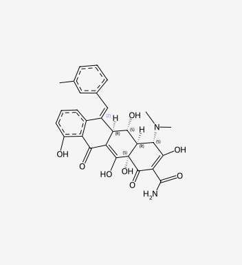 Cc1cccc(/C=C2\c3cccc(O)c3C(=O)C3=C(O)[C@]4(O)C(=O)C(C(N)=O)=C(O)[C@@H](N(C)C)[C@@H]4[C@@H](O)[C@@H]32)c1